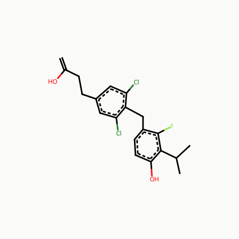 C=C(O)CCc1cc(Cl)c(Cc2ccc(O)c(C(C)C)c2F)c(Cl)c1